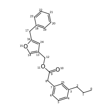 CCCc1cccc(CC(=O)OCc2coc(Cc3ccccc3)c2)c1